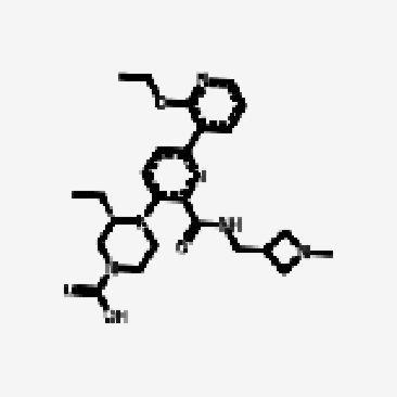 CCOc1ncccc1-c1ccc(N2CCN(C(=O)O)C[C@H]2CC)c(C(=O)NCC2CN(C)C2)n1